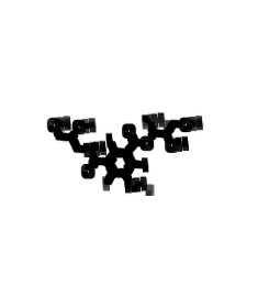 Nc1c(I)c(C(=O)NCC(O)CO)c(I)c(C(=O)OC(N)C(O)CO)c1I